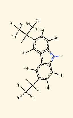 [2H]c1c(C(C)(C)C([2H])([2H])[2H])c([2H])c2c3c([2H])c(C(C)(C([2H])([2H])[2H])C([2H])([2H])[2H])c([2H])c([2H])c3n(C)c2c1[2H]